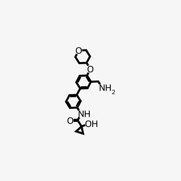 NCc1cc(-c2cccc(NC(=O)C3(O)CC3)c2)ccc1OC1CCOCC1